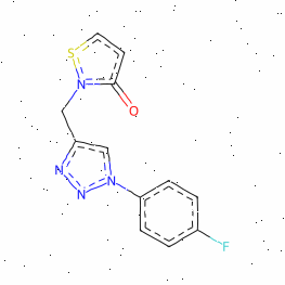 O=c1ccsn1Cc1cn(-c2ccc(F)cc2)nn1